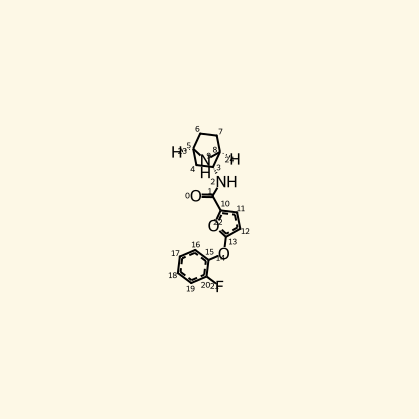 O=C(N[C@@H]1C[C@H]2CC[C@@H]1N2)c1ccc(Oc2ccccc2F)o1